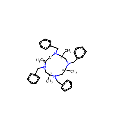 C[C@H]1CN(Cc2ccccc2)[C@@H](C)CN(Cc2ccccc2)[C@@H](C)CN(Cc2ccccc2)[C@@H](C)CN1Cc1ccccc1